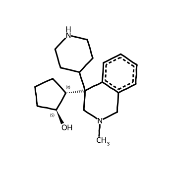 CN1Cc2ccccc2C(C2CCNCC2)([C@H]2CCC[C@@H]2O)C1